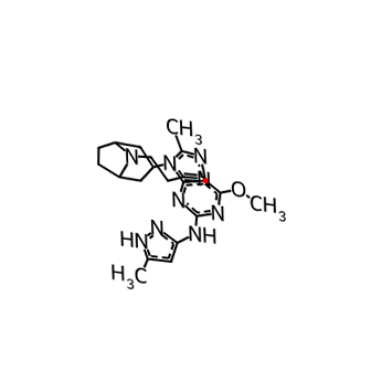 COc1nc(Nc2cc(C)[nH]n2)nc2c1nc(C)n2C1CC2CCC(C1)N2CCC#N